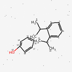 CC(C)c1ccccc1C(C)C.Oc1ccccc1